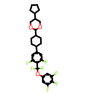 Fc1cc(OC(F)(F)c2c(F)cc(C3CCC(C4OCC(C5CCCC5)CO4)CC3)cc2F)cc(F)c1F